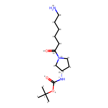 CC(C)(C)OC(=O)N[C@H]1CCN(C(=O)CCCCCN)C1